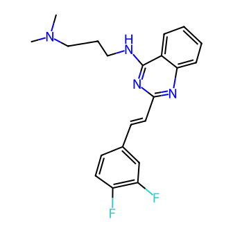 CN(C)CCCNc1nc(C=Cc2ccc(F)c(F)c2)nc2ccccc12